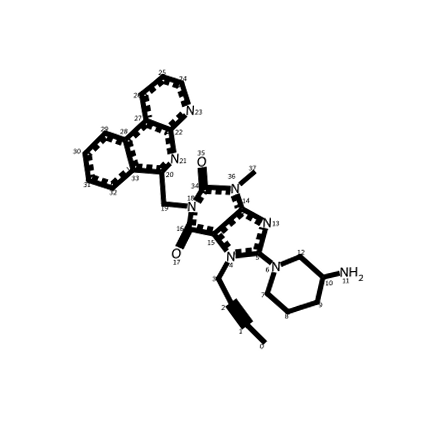 CC#CCn1c(N2CCCC(N)C2)nc2c1c(=O)n(Cc1nc3ncccc3c3ccccc13)c(=O)n2C